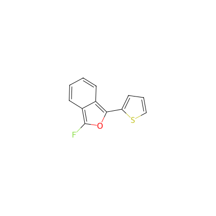 Fc1oc(-c2cccs2)c2ccccc12